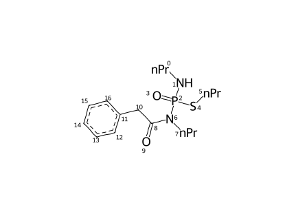 CCCNP(=O)(SCCC)N(CCC)C(=O)Cc1ccccc1